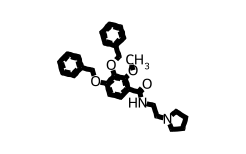 COc1c(C(=O)NCCN2CCCC2)ccc(OCc2ccccc2)c1OCc1ccccc1